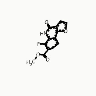 COC(=O)c1ccc2c([nH]c(=O)c3ccoc32)c1F